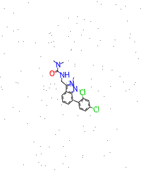 CN(C)C(=O)NCc1c2cccc(-c3ccc(Cl)cc3Cl)c2nn1C